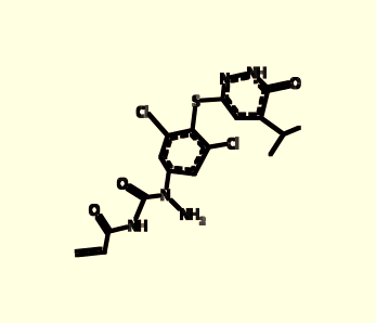 C=CC(=O)NC(=O)N(N)c1cc(Cl)c(Sc2cc(C(C)C)c(=O)[nH]n2)c(Cl)c1